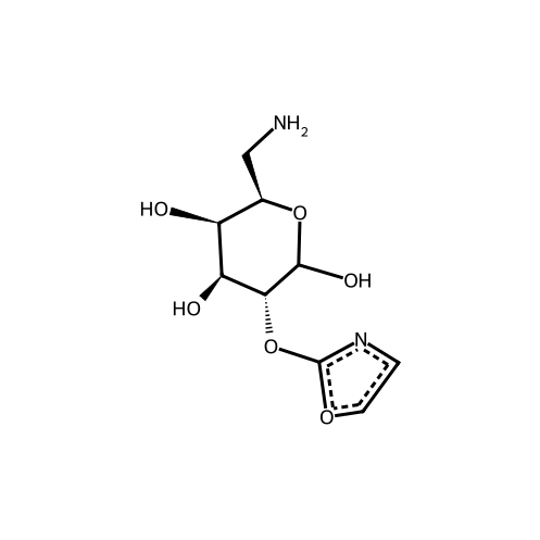 NC[C@H]1OC(O)[C@H](Oc2ncco2)[C@@H](O)[C@H]1O